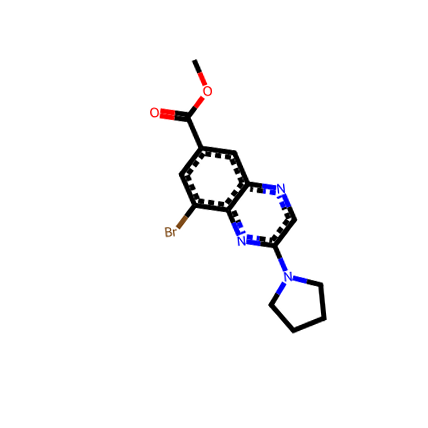 COC(=O)c1cc(Br)c2nc(N3CCCC3)cnc2c1